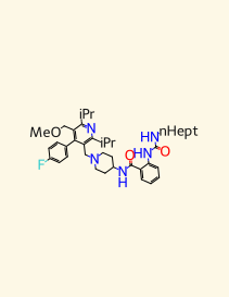 CCCCCCCNC(=O)Nc1ccccc1C(=O)NC1CCN(Cc2c(C(C)C)nc(C(C)C)c(COC)c2-c2ccc(F)cc2)CC1